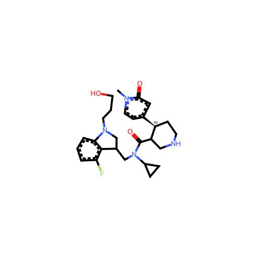 Cn1ccc([C@H]2CCNCC2C(=O)N(CC2CN(CCCO)c3cccc(F)c32)C2CC2)cc1=O